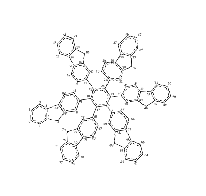 c1ccc2c(c1)Cc1cc(-c3c(-c4ccc5c(c4)Cc4ccccc4-5)c(-c4ccc5c(c4)Cc4ccccc4-5)c(-c4ccc5c(c4)Cc4ccccc4-5)c(-c4ccc5c(c4)Cc4ccccc4-5)c3-c3ccc4c(c3)Cc3ccccc3-4)ccc1-2